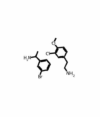 CC(N)c1cccc(Br)c1.COc1ccc(CCN)cc1Cl